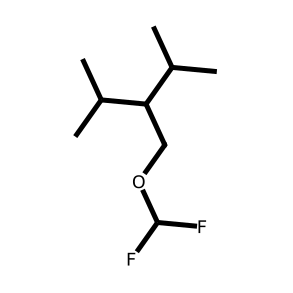 CC(C)C(COC(F)F)C(C)C